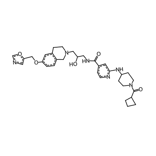 O=C(NCC(O)CN1CCc2cc(OCc3cnco3)ccc2C1)c1ccnc(NC2CCN(C(=O)C3CCC3)CC2)c1